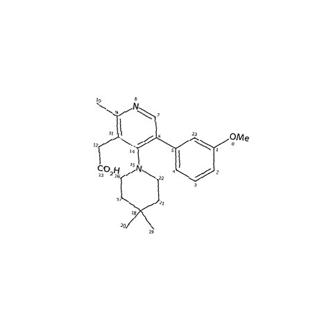 COc1cccc(-c2cnc(C)c(CC(=O)O)c2N2CCC(C)(C)CC2)c1